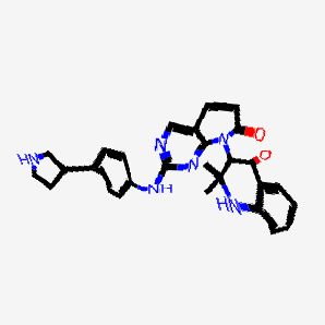 CC1(C)Nc2ccccc2C(=O)C1n1c(=O)ccc2cnc(Nc3ccc(C4CCNC4)cc3)nc21